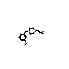 COc1cccc(CN2CCN(CCCl)CC2)c1